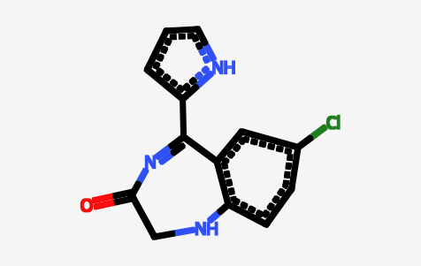 O=C1CNc2ccc(Cl)cc2C(c2ccc[nH]2)=N1